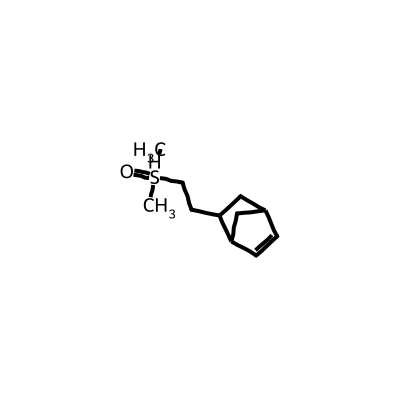 C[SH](C)(=O)CCC1CC2C=CC1C2